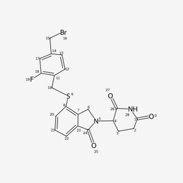 O=C1CCC(N2Cc3c(SCc4ccc(CBr)cc4F)cccc3C2=O)C(=O)N1